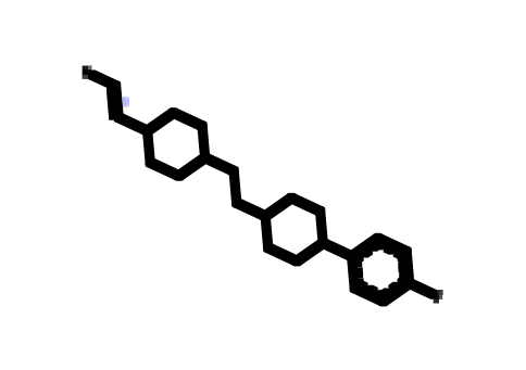 F/C=C/C1CCC(CCC2CCC(c3ccc(F)cc3)CC2)CC1